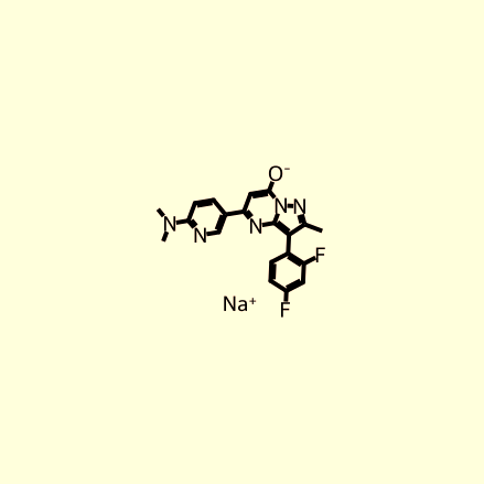 Cc1nn2c([O-])cc(-c3ccc(N(C)C)nc3)nc2c1-c1ccc(F)cc1F.[Na+]